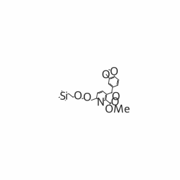 COC(=O)c1nc(COCOCC[Si](C)(C)C)ccc1C(=O)c1ccc2c(c1)OCO2